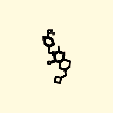 Cc1nc2c(c(=O)n1Cc1ccc(C(F)(F)F)nc1)CN(CC1CCC1)CC2